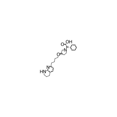 O=C(O)[C@H](c1ccccc1)N1CC[C@@H](OCCCCc2ccc3c(n2)NCCC3)C1